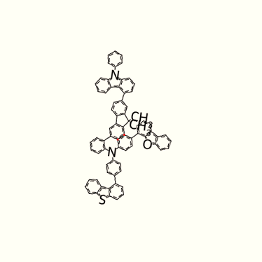 CC1(C)c2ccc(-c3ccccc3N(c3ccc(-c4cccc5c4oc4ccccc45)cc3)c3ccc(-c4cccc5sc6ccccc6c45)cc3)cc2-c2ccc(-c3cccc4c3c3ccccc3n4-c3ccccc3)cc21